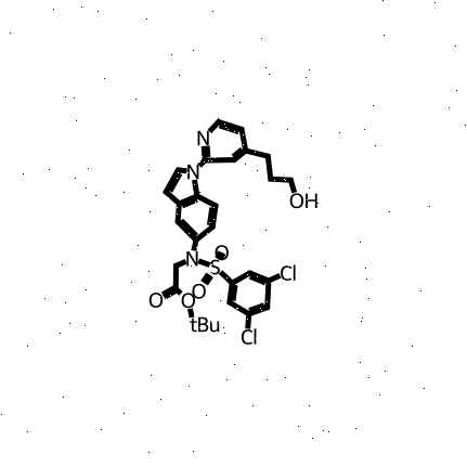 CC(C)(C)OC(=O)CN(c1ccc2c(ccn2-c2cc(CCCO)ccn2)c1)S(=O)(=O)c1cc(Cl)cc(Cl)c1